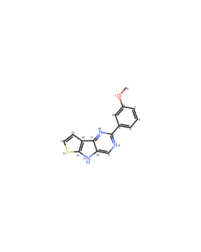 COc1cccc(-c2ncc3[nH]c4sccc4c3n2)c1